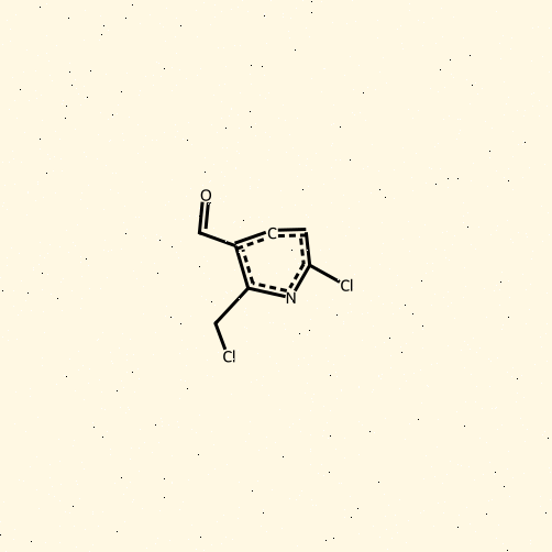 O=Cc1ccc(Cl)nc1CCl